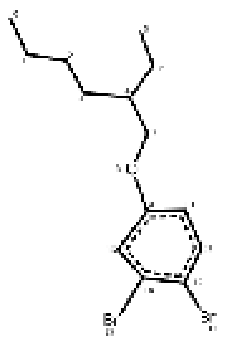 CCCCC(CC)COc1ccc(Br)c(Br)c1